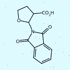 O=C(O)C1CCOC1N1C(=O)c2ccccc2C1=O